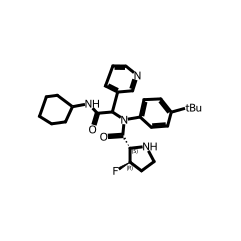 CC(C)(C)c1ccc(N(C(=O)[C@@H]2NCC[C@H]2F)C(C(=O)NC2CCCCC2)c2cccnc2)cc1